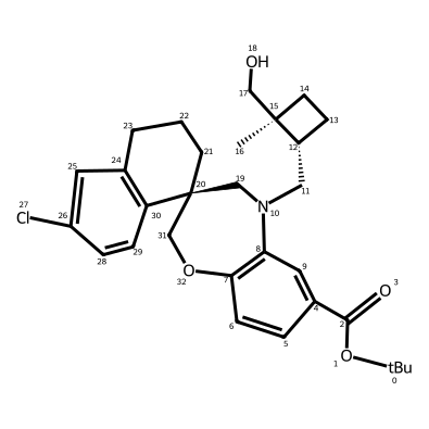 CC(C)(C)OC(=O)c1ccc2c(c1)N(C[C@H]1CC[C@]1(C)CO)C[C@@]1(CCCc3cc(Cl)ccc31)CO2